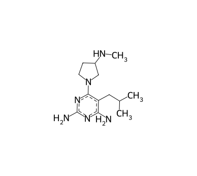 CNC1CCN(c2nc(N)nc(N)c2CC(C)C)C1